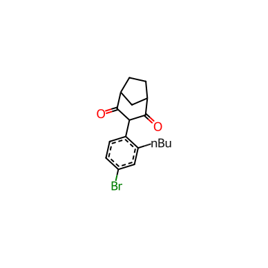 CCCCc1cc(Br)ccc1C1C(=O)C2CCC(C2)C1=O